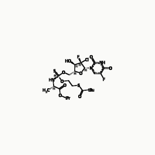 CC(C)OC(=O)[C@H](C)N[P@](=S)(OCCSC(=O)C(C)(C)C)OC[C@H]1O[C@@H](n2cc(F)c(=O)[nH]c2=O)[C@@](F)(Cl)[C@@H]1O